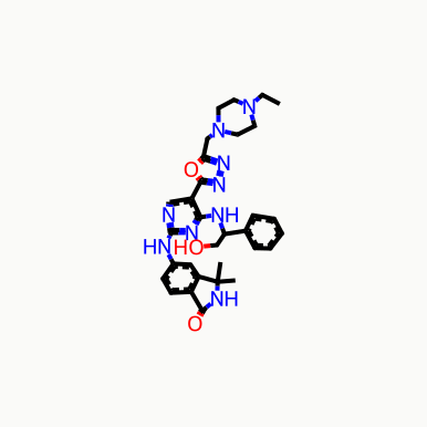 CCN1CCN(Cc2nnc(-c3cnc(Nc4ccc5c(c4)C(C)(C)NC5=O)nc3NC(CO)c3ccccc3)o2)CC1